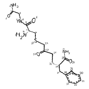 NC(=O)CNC(=O)[C@@H](N)CSCC(=O)CC[C@@H](Cc1ccccc1)C(N)=O